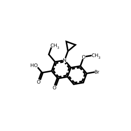 CCc1c(C(=O)O)c(=O)c2ccc(Br)c(OC)c2n1C1CC1